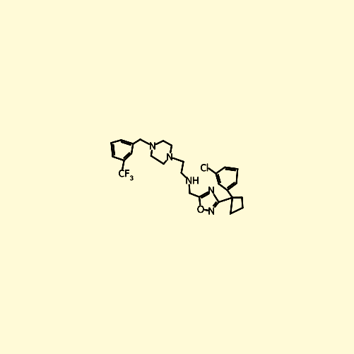 FC(F)(F)c1cccc(CN2CCN(CCNCc3nc(C4(c5cccc(Cl)c5)CCC4)no3)CC2)c1